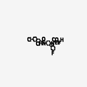 CCC(C(=O)O)n1c2c(c3cc(F)ccc31)C[C@@H](NC(=O)CCc1ccc(Cl)cc1Cl)CC2